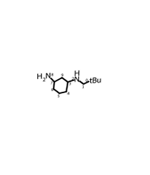 CC(C)(C)CNC1CCCC(N)C1